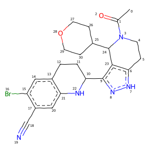 CC(=O)N1CCc2[nH]nc(C3CCc4cc(Br)c(C#N)cc4N3)c2C1C1CCOCC1